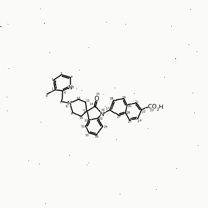 Cc1cccnc1CN1CCC2(CC1)C(=O)N(c1ccc3cc(C(=O)O)ccc3c1)c1ccccc12